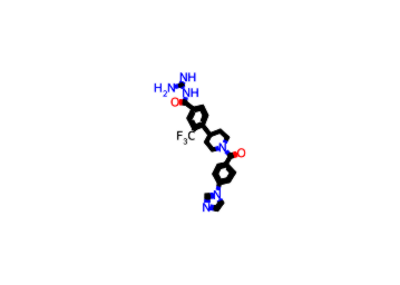 N=C(N)NC(=O)c1ccc(C2CCN(C(=O)c3ccc(-n4ccnc4)cc3)CC2)c(C(F)(F)F)c1